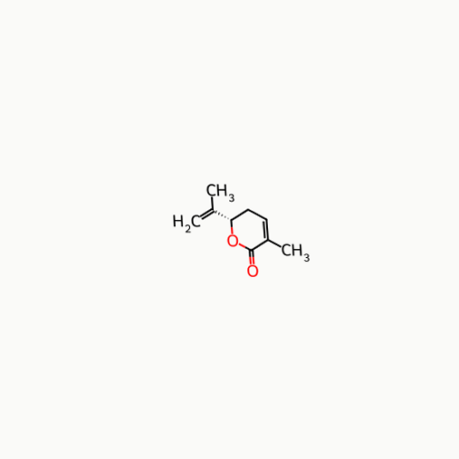 C=C(C)[C@@H]1CC=C(C)C(=O)O1